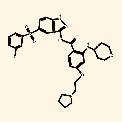 O=C(Nc1n[nH]c2ccc(S(=O)(=O)c3cccc(F)c3)cc12)c1ccc(OCCN2CCCC2)cc1NC1CCOCC1